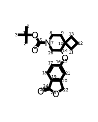 CC(C)(C)OC(=O)N1CCC2(CCC2)[C@H](Oc2ccc3c(c2)COC3=O)C1